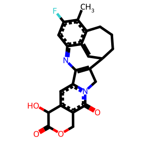 Cc1c(F)cc2c3c1CCCC(C=3)C1=C(N=2)c2cc3c(c(=O)n2C1)COC(=O)C3O